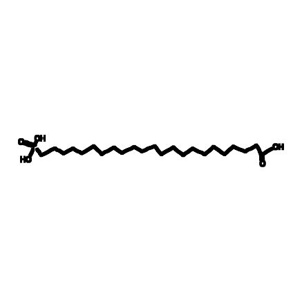 O=C(O)CCCCCCCCCCCCCCCCCCCCCCP(=O)(O)O